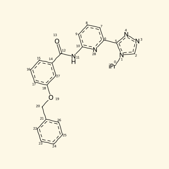 CC(C)n1cnnc1-c1cccc(NC(=O)c2cccc(OCc3ccccc3)c2)n1